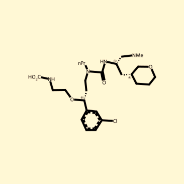 CCCN(CC[C@@H](OCCNC(=O)O)c1cccc(Cl)c1)C(=O)N[C@H](CNC)C[C@H]1CCCOC1